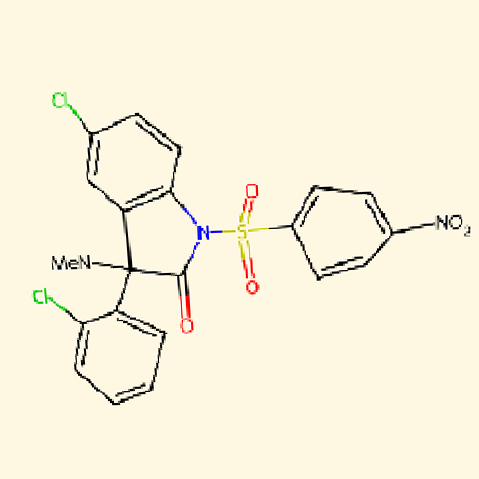 CNC1(c2ccccc2Cl)C(=O)N(S(=O)(=O)c2ccc([N+](=O)[O-])cc2)c2ccc(Cl)cc21